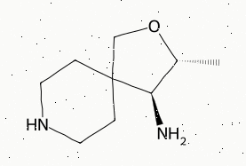 C[C@H]1OCC2(CCNCC2)[C@@H]1N